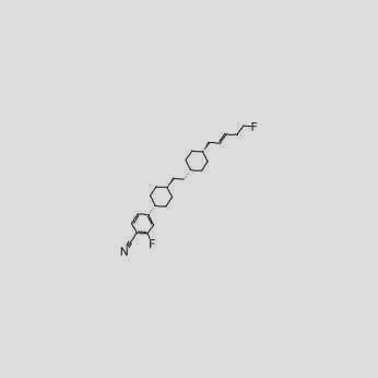 N#Cc1ccc([C@H]2CC[C@H](CC[C@H]3CC[C@H](CC=CCCF)CC3)CC2)cc1F